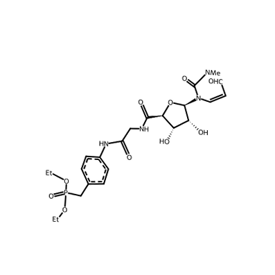 CCOP(=O)(Cc1ccc(NC(=O)CNC(=O)[C@H]2O[C@@H](N(/C=C\C=O)C(=O)NC)[C@H](O)[C@@H]2O)cc1)OCC